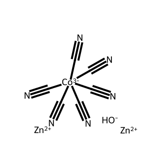 N#[C][Co-3]([C]#N)([C]#N)([C]#N)([C]#N)[C]#N.[OH-].[Zn+2].[Zn+2]